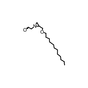 CCCCCCCCCCCCOCC1CN1CC=O